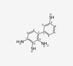 Nc1ccc(-c2cccc(S)c2)c(N)c1S